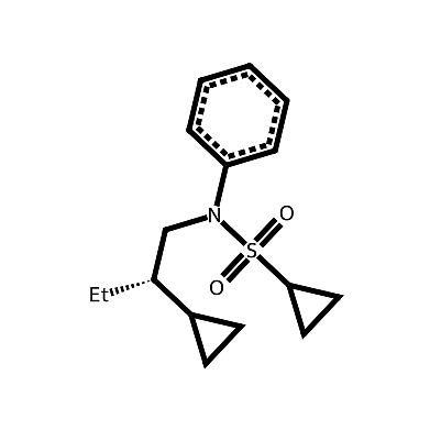 CC[C@H](CN(c1ccccc1)S(=O)(=O)C1CC1)C1CC1